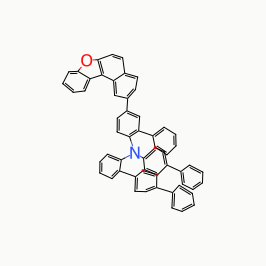 c1ccc(-c2ccc(-c3ccccc3N(c3ccc(-c4ccccc4)cc3)c3ccc(-c4ccc5ccc6oc7ccccc7c6c5c4)cc3-c3ccccc3)cc2)cc1